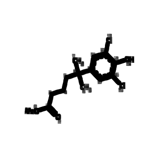 COC(=O)CCCC(C)(C)c1cc(Cl)c(O)c(Cl)c1